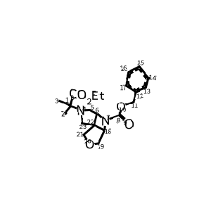 CCOC(=O)C(C)(C)N1CC2N(C(=O)OCc3ccccc3)C3COCC32C1